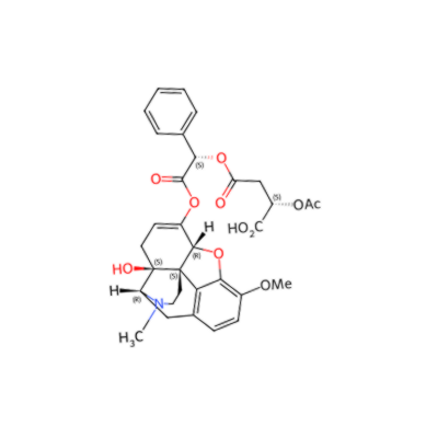 COc1ccc2c3c1O[C@H]1C(OC(=O)[C@@H](OC(=O)C[C@H](OC(C)=O)C(=O)O)c4ccccc4)=CC[C@@]4(O)[C@@H](C2)N(C)CC[C@]314